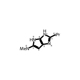 CNc1cc2nc(C(C)C)[nH]c2[nH]1